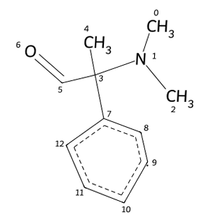 CN(C)C(C)(C=O)c1c[c]ccc1